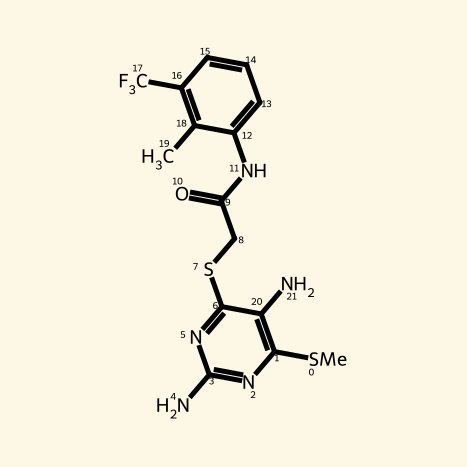 CSc1nc(N)nc(SCC(=O)Nc2cccc(C(F)(F)F)c2C)c1N